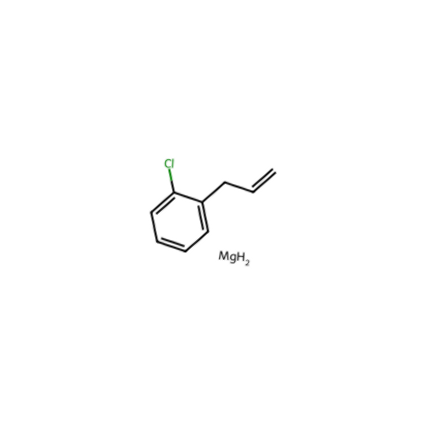 C=CCc1ccccc1Cl.[MgH2]